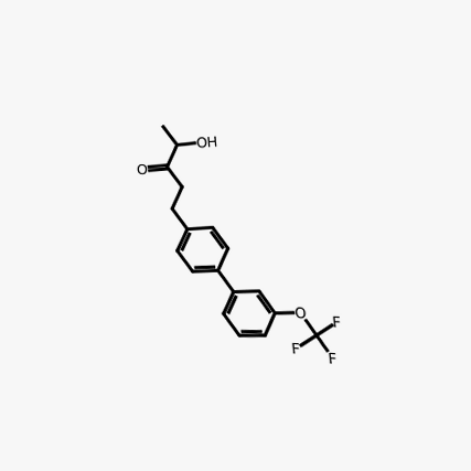 CC(O)C(=O)CCc1ccc(-c2cccc(OC(F)(F)F)c2)cc1